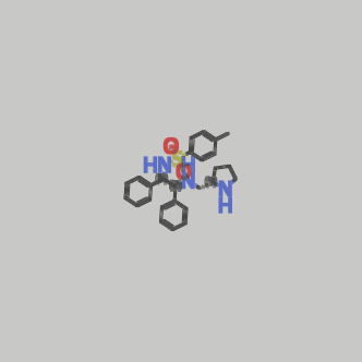 Cc1ccc(S(=O)(=O)N[C@H](c2ccccc2)[C@H](NC[C@@H]2CCCN2)c2ccccc2)cc1